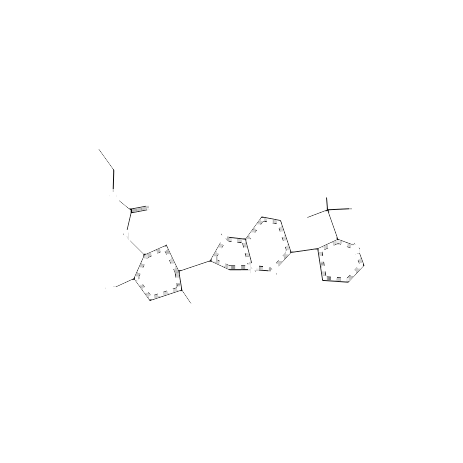 CCOC(=O)Nc1cc(-c2cn3nc(-c4cccnc4C(F)(F)F)ccc3n2)c(F)cc1Cl